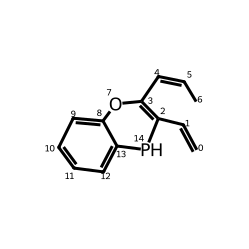 C=CC1=C(/C=C\C)Oc2ccccc2P1